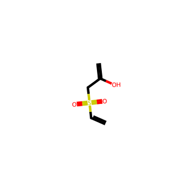 C=CS(=O)(=O)CC(=C)O